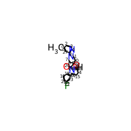 Cc1ccnc(N2CCC3(CC2)O[C@@H]2CC[C@@H](c4cccc(F)c4)N2C3=O)c1